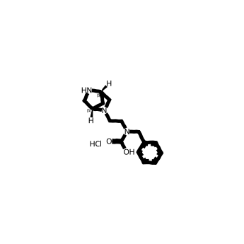 Cl.O=C(O)N(CCN1C[C@@H]2C[C@H]1CN2)Cc1ccccc1